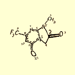 CN1C(=O)Cn2c1nc(C(F)(F)F)cc2=O